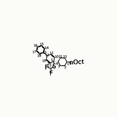 CCCCCCCC[C@H]1CC[C@H](C2(SC(F)F)C=CC(c3ccccc3)C=C2)CC1